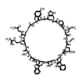 CCCC[C@H]1C(=O)N(C)[C@@H](CCCC)C(=O)N[C@@H](CCCNC(=N)N)C(=O)NC(C(=O)NCC(N)=O)CSCC(=O)N[C@@H](Cc2ccc(O)cc2)C(=O)N(C)[C@@H](C)C(=O)N[C@@H](Cc2cnc[nH]2)C(=O)N2CCC[C@H]2C(=O)N[C@@H](CC(N)=O)C(=O)N[C@@H](CC(C)C)C(=O)N2C[C@H](O)C[C@H]2C(=O)N[C@@H](Cc2c[nH]c3ccccc23)C(=O)N[C@@H](CO)C(=O)N[C@@H](Cc2csc3ccccc23)C(=O)N1C